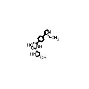 CCn1nccc1-c1ccc([C@H](CO)NC(=O)[C@@H]2C[C@@H](O)CN2)cc1